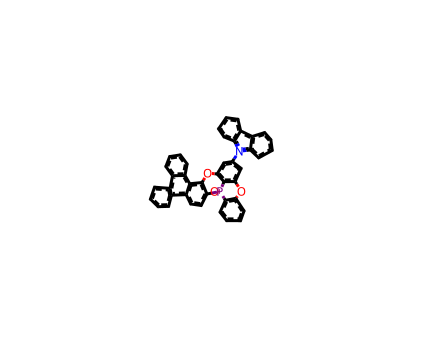 O=P12c3ccccc3Oc3cc(-n4c5ccccc5c5ccccc54)cc(c31)Oc1c2ccc2c3ccccc3c3ccccc3c12